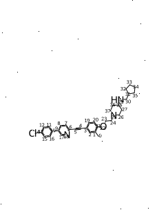 Cc1cc(C#Cc2ccc(-c3ccc(Cl)cc3)cn2)ccc1OCCN1CCC(NCC2CCCC2)CC1